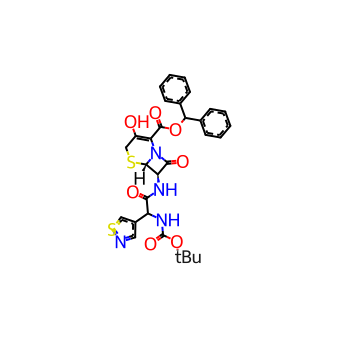 CC(C)(C)OC(=O)NC(C(=O)N[C@@H]1C(=O)N2C(C(=O)OC(c3ccccc3)c3ccccc3)=C(O)CS[C@@H]12)c1cnsc1